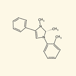 Cc1ccccc1N1C=C(c2ccccc2)N(C)[C@@H]1C